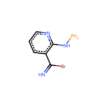 N=C(Br)c1cccnc1NP